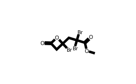 COC(=O)C(Br)(Br)CC1(Br)CC(=O)O1